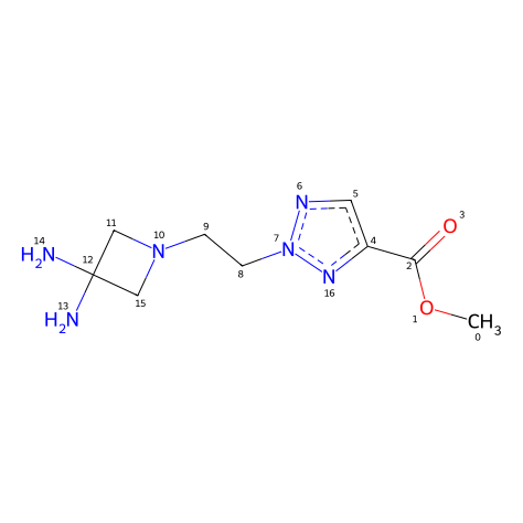 COC(=O)c1cnn(CCN2CC(N)(N)C2)n1